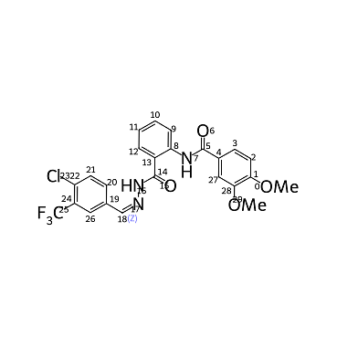 COc1ccc(C(=O)Nc2ccccc2C(=O)N/N=C\c2ccc(Cl)c(C(F)(F)F)c2)cc1OC